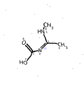 CN/C(C)=N\C(=O)O